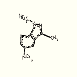 Cc1nn(C(=O)O)c2ccc([N+](=O)[O-])cc12